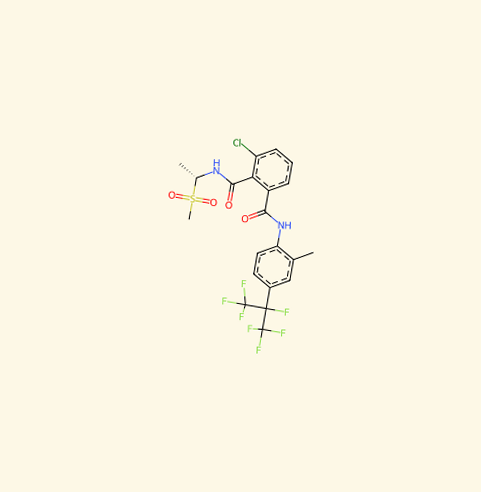 Cc1cc(C(F)(C(F)(F)F)C(F)(F)F)ccc1NC(=O)c1cccc(Cl)c1C(=O)N[C@@H](C)S(C)(=O)=O